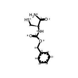 NC(=O)[C@H](CS)NC(=O)OCc1ccccc1